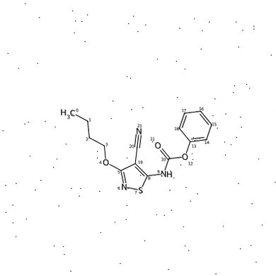 CCCCOc1nsc(NC(=O)Oc2ccccc2)c1C#N